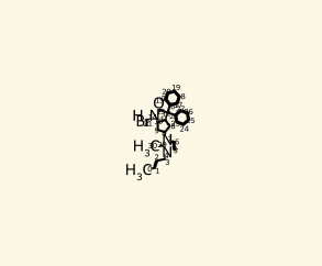 C/C=C/C[n+]1ccn([C@H]2CC[C@@H](C(C(N)=O)(c3ccccc3)c3ccccc3)C2)c1C.[Br-]